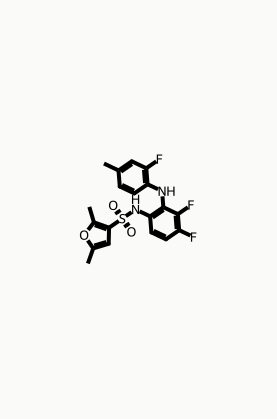 Cc1ccc(Nc2c(NS(=O)(=O)c3cc(C)oc3C)ccc(F)c2F)c(F)c1